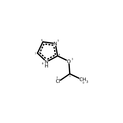 CC(Cl)Oc1ncc[nH]1